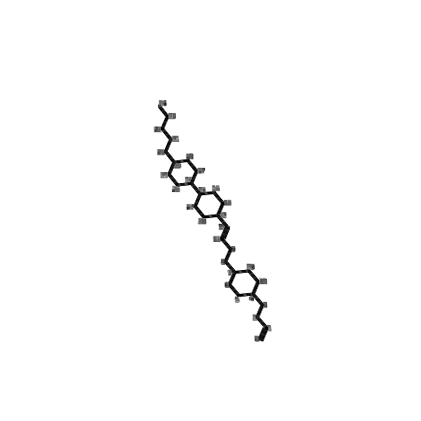 C=CCCC1CCC(CCC=CC2CCC(C3CCC(CCCCC)CC3)CC2)CC1